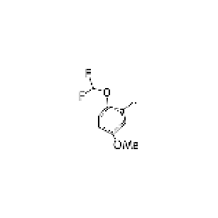 [CH2]c1cc(OC)ccc1OC(F)F